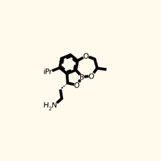 CC1COc2ccc(C(C)C)c3c2B(O1)O[C@@H]3CCN